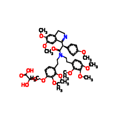 COc1ccc([C@@H](C(=O)N(CCc2ccc(OC)c(OC)c2OC)CCc2ccc(OC)c(OC)c2OC)C2=NCCc3cc(OC)c(OC)cc32)cc1.O=C(O)C(=O)O